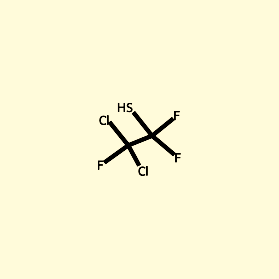 FC(F)(S)C(F)(Cl)Cl